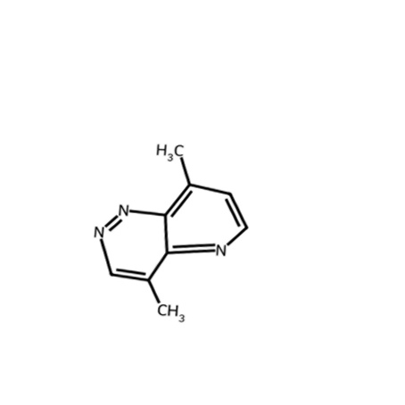 Cc1cnnc2c(C)ccnc12